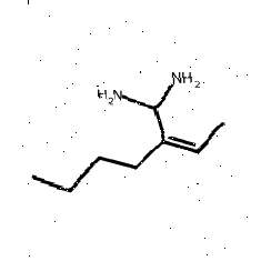 CC=C(CCCC)C(N)N